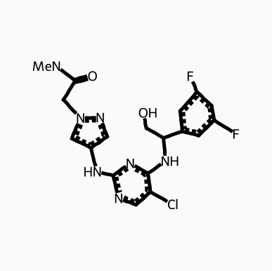 CNC(=O)Cn1cc(Nc2ncc(Cl)c(NC(CO)c3cc(F)cc(F)c3)n2)cn1